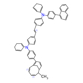 CC1/C=C\C=C/C2=C(c3ccc(N(C4=CCCC=C4)c4ccc(/C=C/c5ccc(N(C6=CCCC=C6)c6ccc(-c7cccc8ccccc78)cc6)cc5)cc4)cc3)C=CC1C2